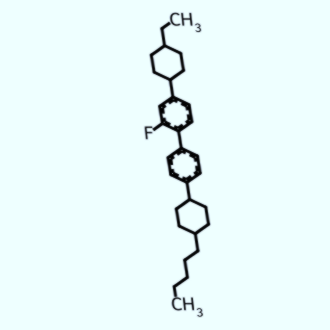 CCCCCC1CCC(c2ccc(-c3ccc(C4CCC(CC)CC4)cc3F)cc2)CC1